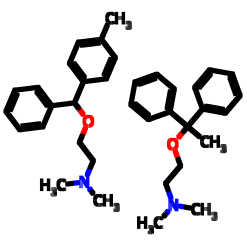 CN(C)CCOC(C)(c1ccccc1)c1ccccc1.Cc1ccc(C(OCCN(C)C)c2ccccc2)cc1